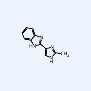 Cc1nc(-c2nc3ccccc3[nH]2)c[nH]1